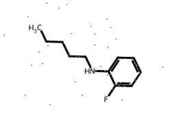 CCCCCNc1ccccc1F